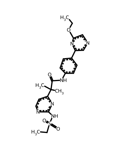 CCOc1cncc(-c2ccc(NC(=O)C(C)(C)c3ccnc(NS(=O)(=O)CC)n3)cc2)n1